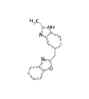 Cc1nc2cc(Cc3nc4ccccc4o3)ccc2[nH]1